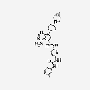 Cc1cccc(NC(=O)Nc2ccc(NC(=O)c3cn(C4CCC(N5CCN(C)CC5)CC4)c4ncnc(N)c34)cc2)c1